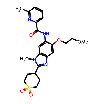 COCCOc1cc2nc(C3CCS(=O)(=O)CC3)n(C)c2cc1NC(=O)c1cccc(C(F)(F)F)n1